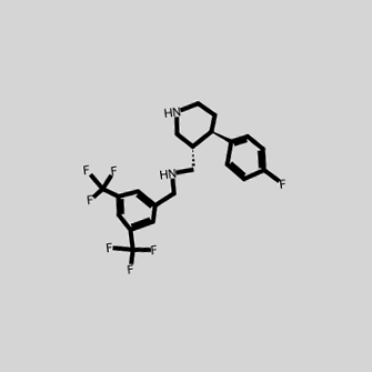 Fc1ccc([C@@H]2CCNC[C@H]2CNCc2cc(C(F)(F)F)cc(C(F)(F)F)c2)cc1